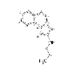 CCCNc1nc2ccc3ccccc3c2s1